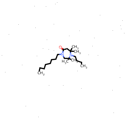 CCCCCCCCN1CC(C)(C)N(CCCC)C(C)(C)CC1=O